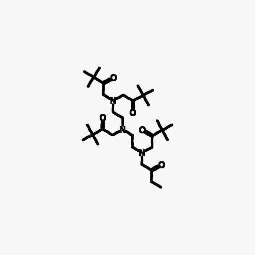 CCC(=O)CN(CCN(CCN(CC(=O)C(C)(C)C)CC(=O)C(C)(C)C)CC(=O)C(C)(C)C)CC(=O)C(C)(C)C